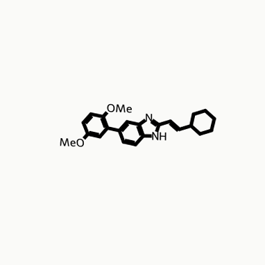 COc1ccc(OC)c(-c2ccc3[nH]c(/C=C/C4CCCCC4)nc3c2)c1